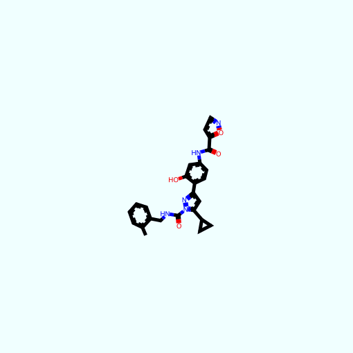 Cc1ccccc1CNC(=O)n1nc(-c2ccc(NC(=O)c3ccno3)cc2O)cc1C1CC1